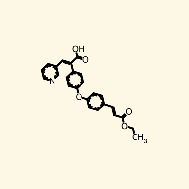 CCOC(=O)C=Cc1ccc(Oc2ccc(/C(=C\c3cccnc3)C(=O)O)cc2)cc1